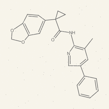 Cc1cc(-c2ccccc2)cnc1NC(=O)C1(c2ccc3c(c2)OCO3)CC1